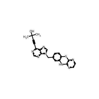 CC(C)(O)C#Cc1ncnc2c1ncn2Cc1ccc2c(c1)Nc1nccnc1S2